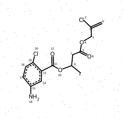 C=C(Cl)COC(=O)CC(C)OC(=O)c1cc(N)ccc1Cl